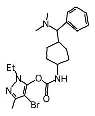 CCn1nc(C)c(Br)c1OC(=O)NC1CCC(C(c2ccccc2)N(C)C)CC1